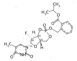 Cc1cn([C@H]2O[C@H]3COP(=O)(OCc4ccccc4C(=O)OC(C)C)O[C@@H]3[C@H]2F)c(=O)[nH]c1=O